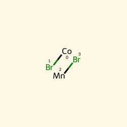 [Co][Br].[Mn][Br]